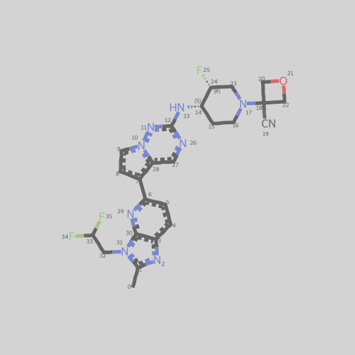 Cc1nc2ccc(-c3ccn4nc(N[C@H]5CCN(C6(C#N)COC6)C[C@H]5F)ncc34)nc2n1CC(F)F